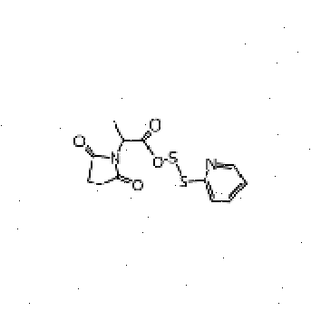 CC(C(=O)OSSc1ccccn1)N1C(=O)CCC1=O